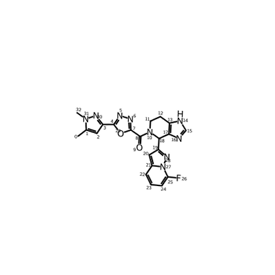 Cc1cc(-c2nnc(C(=O)N3CCc4[nH]cnc4C3c3cc4cccc(F)n4n3)o2)nn1C